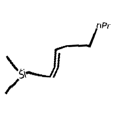 CCCCC=C[Si](C)C